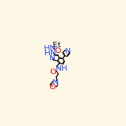 CCNC(=O)Nc1cc2c(-c3ccncc3)ccc(CNC(=O)CCCN3CCOCC3)c2cn1